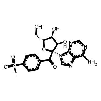 Nc1ncnc2c1ncn2[C@]1(C(=O)c2ccc(S(=O)(=O)F)cc2)O[C@H](CO)[C@@H](O)[C@H]1O